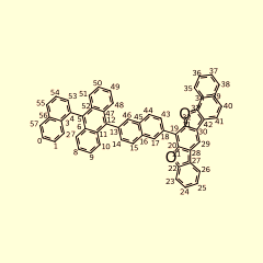 c1ccc2c(-c3c4ccccc4c(-c4ccc5cc(-c6c7oc8ccccc8c7cc7c6oc6c8ccccc8ccc76)ccc5c4)c4ccccc34)cccc2c1